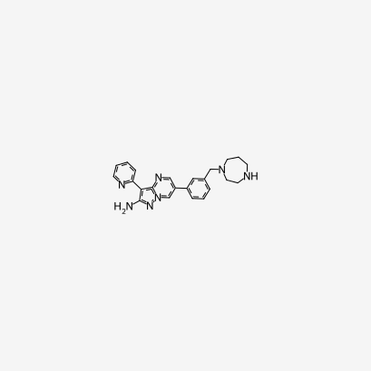 Nc1nn2cc(-c3cccc(CN4CCCNCC4)c3)cnc2c1-c1ccccn1